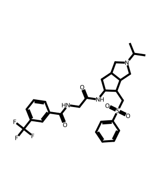 CC(C)N1CC2CC(NC(=O)CNC(=O)c3cccc(C(F)(F)F)c3)C(CS(=O)(=O)c3ccccc3)C2C1